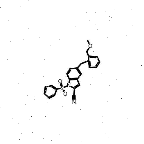 COCc1ccccc1Cc1ccc2c(c1)cc(C#N)n2S(=O)(=O)c1ccccc1